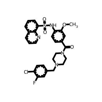 COc1cc(C(=O)N2CCN(Cc3ccc(Cl)c(F)c3)CC2)ccc1NS(=O)(=O)c1cccc2cccnc12